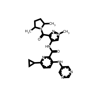 CC1CCC(C)N1C(=O)c1nn(C)cc1NC(=O)c1nc(C2CC2)ccc1Nc1cncnc1